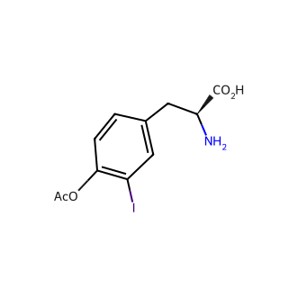 CC(=O)Oc1ccc(C[C@H](N)C(=O)O)cc1I